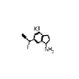 C#CC(F)c1ccc2c(c1)C(N)CC2.Cl